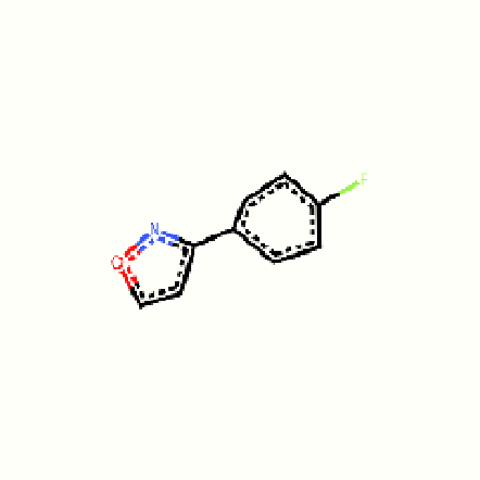 Fc1ccc(-c2ccon2)cc1